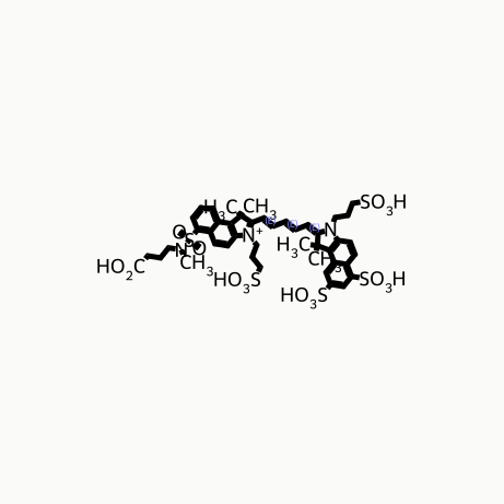 CN(CCCC(=O)O)S(=O)(=O)c1cccc2c3c(ccc12)[N+](CCCS(=O)(=O)O)=C(/C=C/C=C/C=C1/N(CCCS(=O)(=O)O)c2ccc4c(S(=O)(=O)O)cc(S(=O)(=O)O)cc4c2C1(C)C)C3(C)C